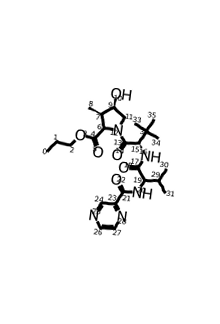 CCCOC(=O)C1[C@@H](C)[C@@H](O)CN1C(=O)[C@@H](NC(=O)C(NC(=O)c1cnccn1)C(C)C)C(C)(C)C